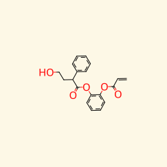 C=CC(=O)Oc1ccccc1OC(=O)C(CCO)c1ccccc1